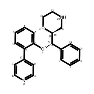 c1ccc([C@H](Oc2ccccc2-c2ccncc2)[C@@H]2CNCCO2)cc1